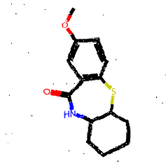 COc1ccc2c(c1)C(=O)NC1CCCCC1S2